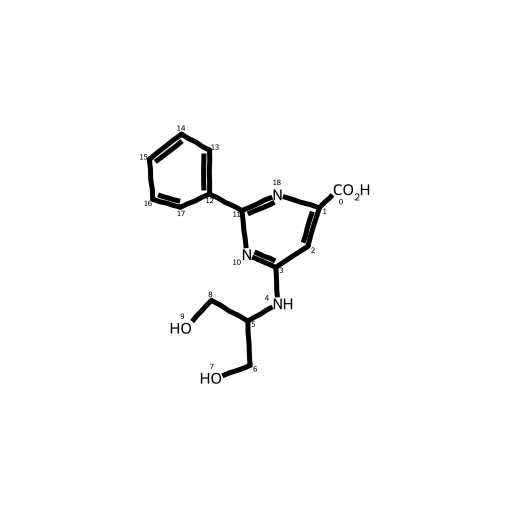 O=C(O)c1cc(NC(CO)CO)nc(-c2ccccc2)n1